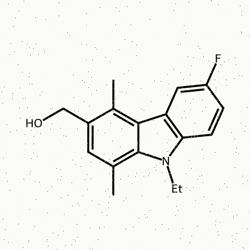 CCn1c2ccc(F)cc2c2c(C)c(CO)cc(C)c21